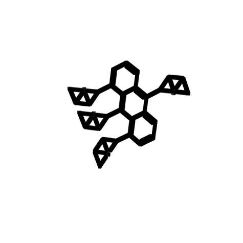 c1cc(C2C3C4CS423)c2c(C3C4C5CS534)c3c(C4C5C6CS645)cccc3c(C3C4C5CS534)c2c1